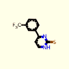 FC(F)(F)c1cccc(-c2cc[nH]c(=S)n2)c1